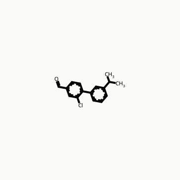 CC(C)c1cccc(-c2ccc(C=O)cc2Cl)c1